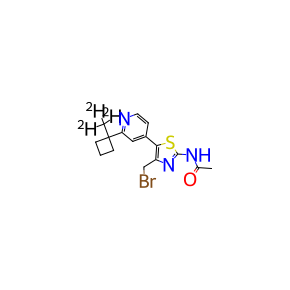 [2H]C([2H])([2H])C1(c2cc(-c3sc(NC(C)=O)nc3CBr)ccn2)CCC1